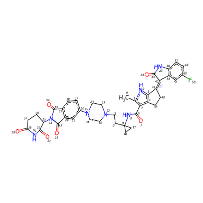 Cc1[nH]c2c(c1C(=O)NC1(CCN3CCN(c4ccc5c(c4)C(=O)N(C4CCC(=O)NC4=O)C5=O)CC3)CC1)CC/C2=C1/C(=O)Nc2ccc(F)cc21